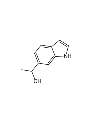 CC(O)c1ccc2cc[nH]c2c1